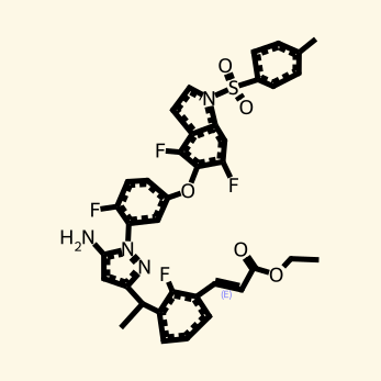 CCOC(=O)/C=C/c1cccc(C(C)c2cc(N)n(-c3cc(Oc4c(F)cc5c(ccn5S(=O)(=O)c5ccc(C)cc5)c4F)ccc3F)n2)c1F